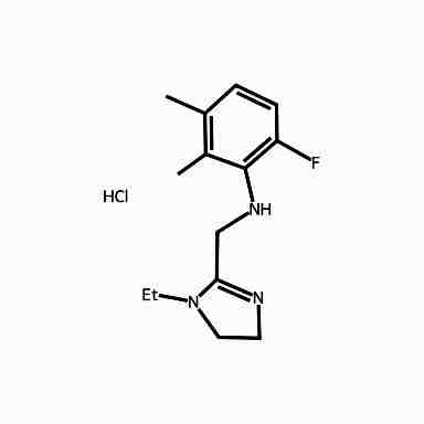 CCN1CCN=C1CNc1c(F)ccc(C)c1C.Cl